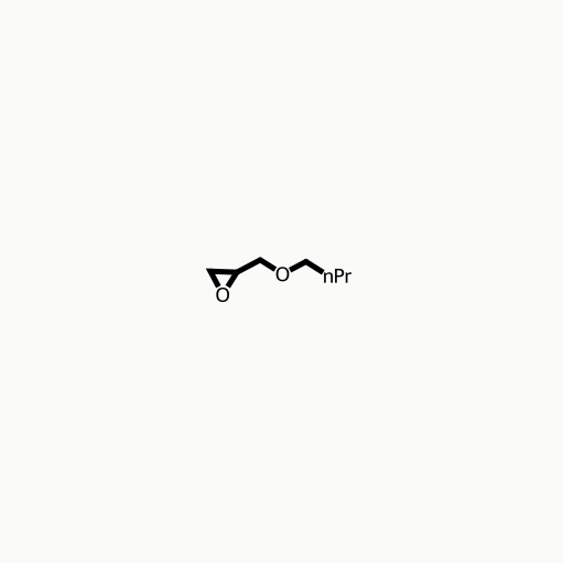 [CH2]CCCOCC1CO1